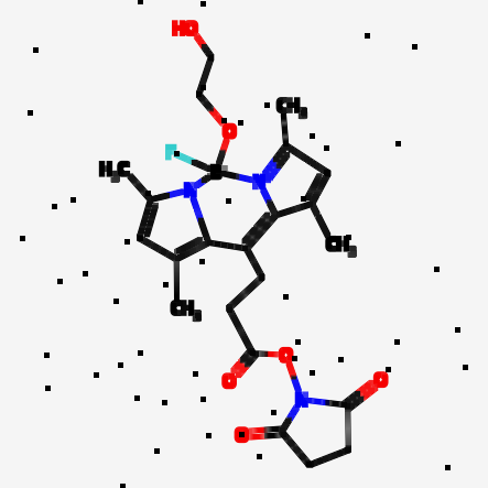 CC1=CC(C)=[N+]2C1=C(CCC(=O)ON1C(=O)CCC1=O)c1c(C)cc(C)n1[B-]2(F)OCCO